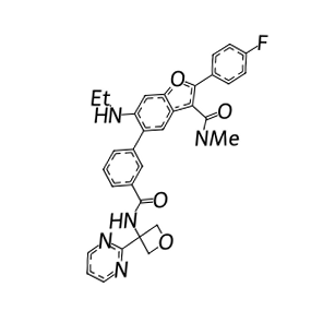 CCNc1cc2oc(-c3ccc(F)cc3)c(C(=O)NC)c2cc1-c1cccc(C(=O)NC2(c3ncccn3)COC2)c1